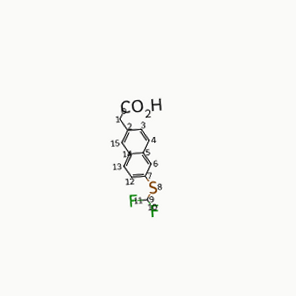 O=C(O)Cc1ccc2cc(SC(F)F)ccc2c1